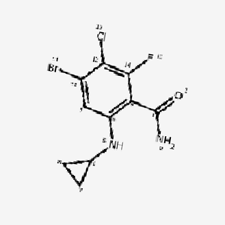 NC(=O)c1c(NC2CC2)cc(Br)c(Cl)c1F